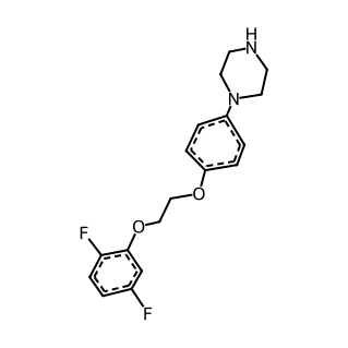 Fc1ccc(F)c(OCCOc2ccc(N3CCNCC3)cc2)c1